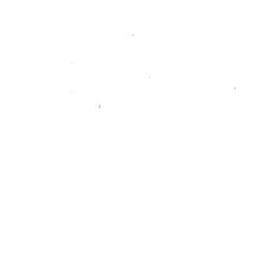 COc1cc2ncnc(Nc3ccc(OCc4cccc(F)c4)c(Cl)c3)c2cc1-c1csc(C(C)OC(CC(C)C)=S(=O)=O)n1